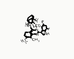 Cc1ccc2c(N[C@H]3C4CCC(CC4)[C@@H]3C(=O)O)nc(-c3c[nH]c4c(F)cc(F)cc34)nc2c1C